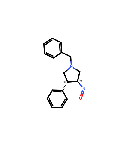 O=N[C@@H]1CN(Cc2ccccc2)C[C@H]1c1ccccc1